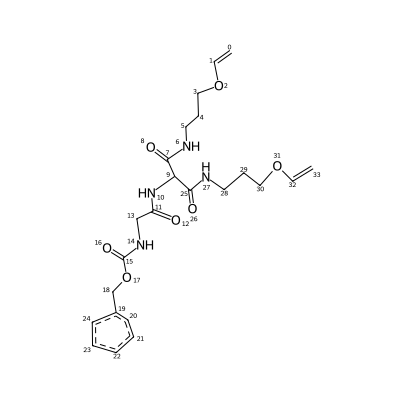 C=COCCCNC(=O)C(NC(=O)CNC(=O)OCc1ccccc1)C(=O)NCCCOC=C